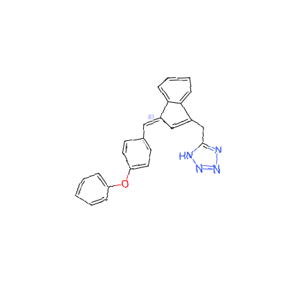 C1=C(Cc2nnn[nH]2)c2ccccc2/C1=C/c1ccc(Oc2ccccc2)cc1